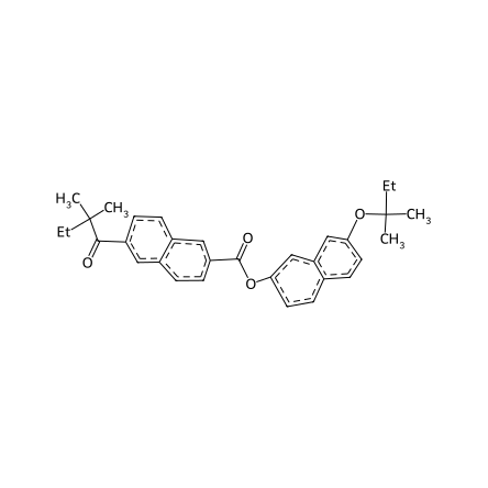 CCC(C)(C)Oc1ccc2ccc(OC(=O)c3ccc4cc(C(=O)C(C)(C)CC)ccc4c3)cc2c1